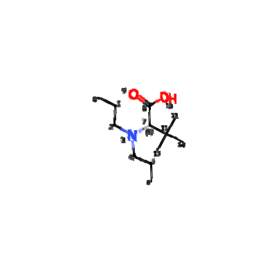 CCCN(CCC)[C@H](C(=O)O)C(C)(C)C